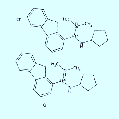 C[SiH](C)[Hf+]([NH]C1CCCC1)[c]1cccc2c1Cc1ccccc1-2.C[SiH](C)[Hf+]([NH]C1CCCC1)[c]1cccc2c1Cc1ccccc1-2.[Cl-].[Cl-]